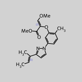 C/C=C(\C)c1ccn(-c2ccc(C)c(O/C(=C\OC)C(=O)OC)c2)n1